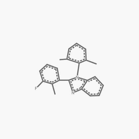 Cc1cccc(C)c1-n1c(-c2cccc(F)c2C)nc2ccccc21